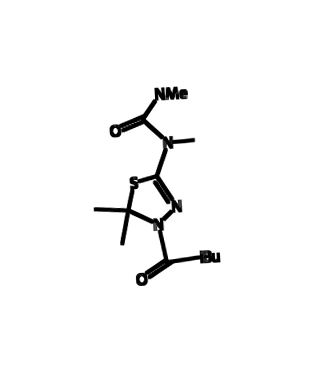 CCC(C)C(=O)N1N=C(N(C)C(=O)NC)SC1(C)C